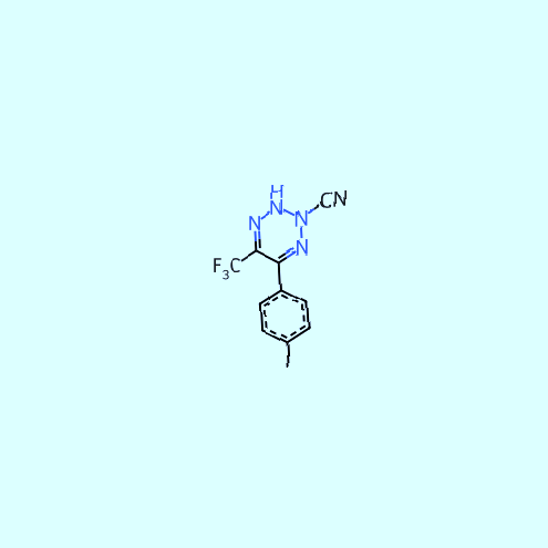 Cc1ccc(C2=NN(C#N)NN=C2C(F)(F)F)cc1